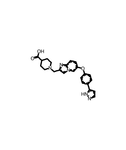 O=C(O)C1CCN(Cc2cn3cc(Oc4ccc(-c5ccn[nH]5)cc4)ccc3n2)CC1